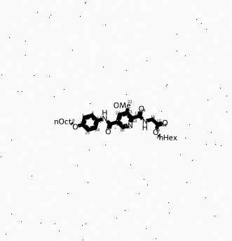 CCCCCCCCOc1ccc(NC(=O)c2cnc(C(=O)NCC(=O)OCCCCCC)c(OC)c2)cc1